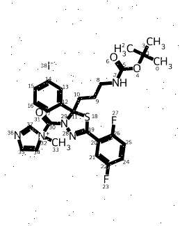 CC(C)(C)OC(=O)NCCCC1(c2ccccc2)SC(c2cc(F)ccc2F)=NN1C(=O)[N+]1(C)C=CN=C1.[I-]